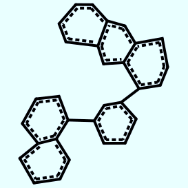 c1cc(-c2cccc3ccccc23)cc(-c2cccc3cc4ccccc4cc23)c1